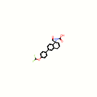 O=C[C@]1(NC(=O)O)C=CCc2cc(-c3ccc(OC(F)F)cc3)ccc21